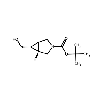 CC(C)(C)OC(=O)N1CC2[C@@H](CO)[C@H]2C1